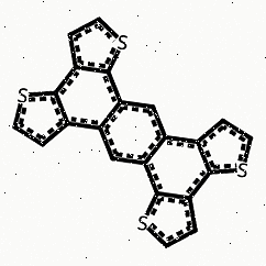 c1cc2c3cc4c(cc3c3sccc3c2s1)c1ccsc1c1ccsc41